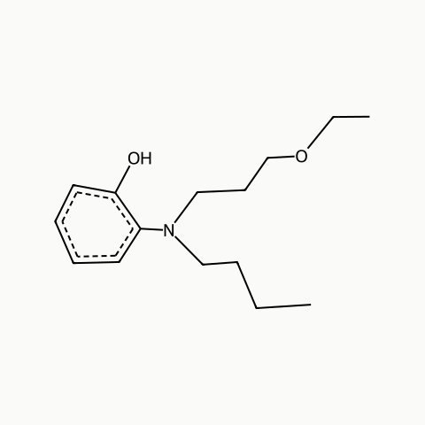 CCCCN(CCCOCC)c1ccccc1O